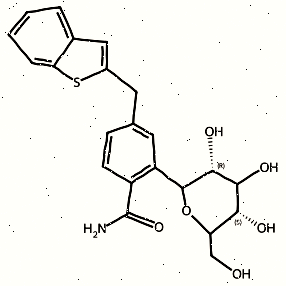 NC(=O)c1ccc(Cc2cc3ccccc3s2)cc1C1OC(CO)[C@@H](O)C(O)[C@H]1O